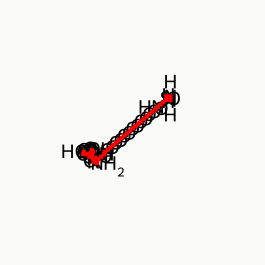 Nc1nc(=O)n([C@@H]2O[C@H](COP(=O)(O)O)C(OP(=O)(O)O)[C@@H]2O)cc1CCCNC(=O)CCOCCOCCOCCOCCOCCOCCOCCOCCOCCOCCOCCOCCNC(=O)CCCC[C@@H]1SC[C@@H]2NC(=O)N[C@@H]21